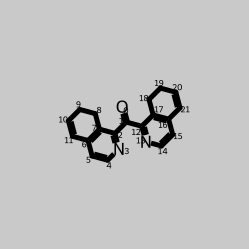 O=C(c1nccc2c1CCC=C2)c1nccc2c1CCC=C2